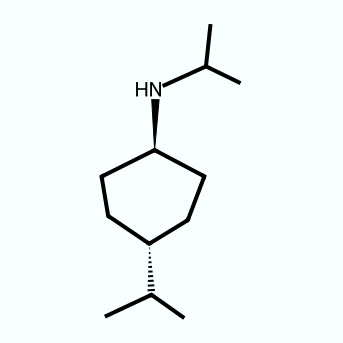 CC(C)N[C@H]1CC[C@H](C(C)C)CC1